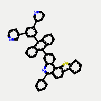 c1ccc(-c2nc3cc(-c4c5ccccc5c(-c5cc(-c6cccnc6)cc(-c6cccnc6)c5)c5ccccc45)ccc3c3c2ccc2c4ccccc4sc23)cc1